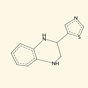 c1ccc2c(c1)NCC(c1cncs1)N2